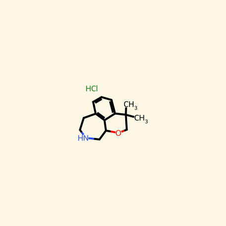 CC1(C)COC2CNCCc3cccc1c32.Cl